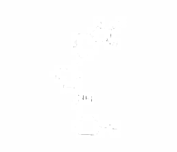 O=c1[nH]c2ccc(-c3cncc(NCc4cccc(O)c4)c3)cc2[nH]1